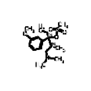 CC[C@](OS(C)(=O)=O)(c1cccc(OC)c1)[C@H](C)CN(C)C